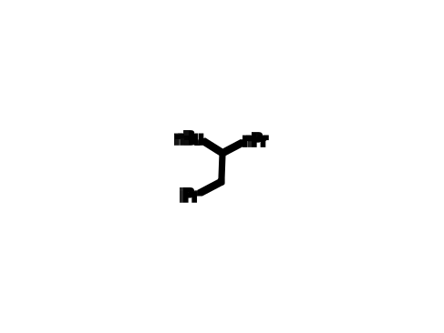 [CH2]CCC(CCCC)CC(C)C